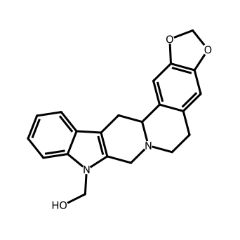 OCn1c2c(c3ccccc31)CC1c3cc4c(cc3CCN1C2)OCO4